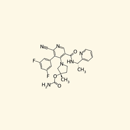 C[C@H](NC(=O)c1cnc(C#N)c(-c2cc(F)cc(F)c2)c1N1CC[C@](C)(OC(N)=O)C1)c1ccccn1